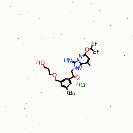 CCC(CC)Oc1cc(C)c2nn(CC(=O)c3cc(COCCCO)cc(C(C)(C)C)c3)c(=N)n2n1.Cl